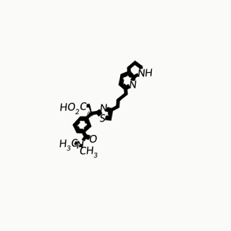 CN(C)C(=O)c1cccc([C@@H](CC(=O)O)c2nc(CCCc3ccc4c(n3)NCCC4)cs2)c1